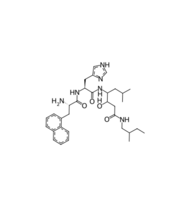 CCC(C)CNC(=O)CC(O)C(CC(C)C)NC(=O)[C@H](Cc1c[nH]cn1)NC(=O)[C@@H](N)Cc1cccc2ccccc12